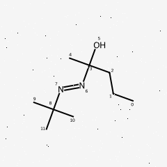 CCCC(C)(O)N=NC(C)(C)C